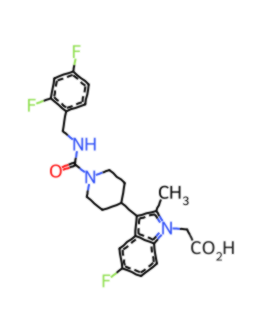 Cc1c(C2CCN(C(=O)NCc3ccc(F)cc3F)CC2)c2cc(F)ccc2n1CC(=O)O